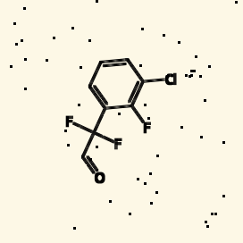 O=CC(F)(F)c1cccc(Cl)c1F